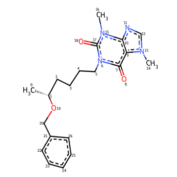 C[C@H](CCCCn1c(=O)c2c(ncn2C)n(C)c1=O)OCc1ccccc1